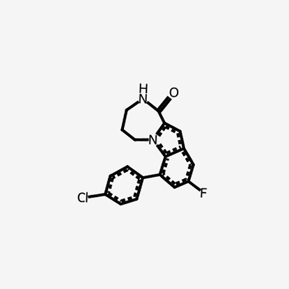 O=C1NCCCn2c1cc1cc(F)cc(-c3ccc(Cl)cc3)c12